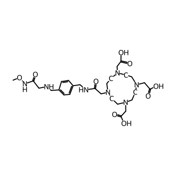 CONC(=O)CNCc1ccc(CNC(=O)CN2CCN(CC(=O)O)CCN(CC(=O)O)CCN(CC(=O)O)CC2)cc1